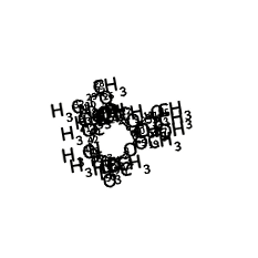 CC[C@H]1OC(=O)[C@H](C)[C@@H](O[C@H]2C[C@@](C)(OC)[C@@H](O)[C@H](C)O2)[C@H](C)[C@@H](O[C@@H]2O[C@H](C)C[C@H](N(C)C)[C@H]2O)[C@](C)(O)C[C@@H](C)CN(C)[C@H](C)[C@@H](OC=O)[C@]1(C)O